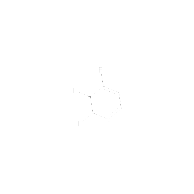 FC1=CC=CC(F)C1F